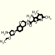 CCO[C@H]1CN(c2ccc3c(c2)OC[C@H](NC(=O)c2sc4nc(C)cc(C)c4c2N)C3)C[C@H]1N